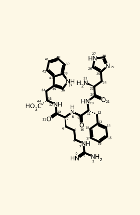 N=C(N)NCCC[C@H](NC(=O)[C@@H](Cc1ccccc1)NC(=O)[C@@H](N)Cc1c[nH]cn1)C(=O)N[C@@H](Cc1c[nH]c2ccccc12)C(=O)O